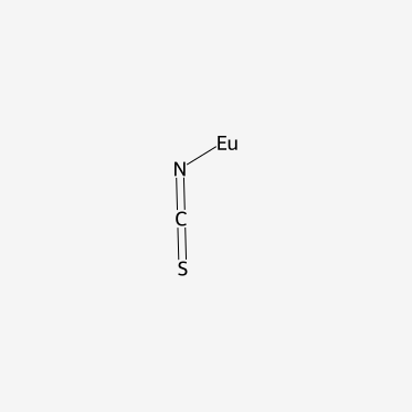 S=C=[N][Eu]